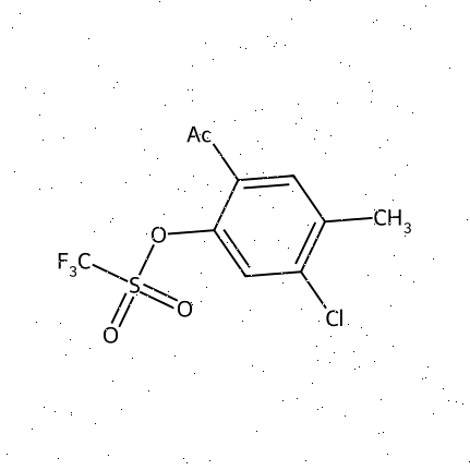 CC(=O)c1cc(C)c(Cl)cc1OS(=O)(=O)C(F)(F)F